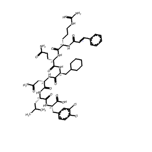 CC(C)C[C@H](NC(=O)[C@H](CC(N)=O)NC(=O)[C@H](CC1CCCCC1)NC(=O)[C@H](CCC(N)=O)NC(=O)[C@H](CCCNC(=N)N)NC(=O)/C=C/c1ccccc1)C(=O)N[C@@H](Cc1ccc(Cl)c(Cl)c1)C(=O)O